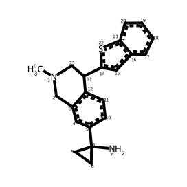 CN1Cc2cc(C3(N)CC3)ccc2C(c2cc3ccccc3s2)C1